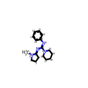 CN1CCCC1=NC(=Nc1ccccc1)N1CCCCC1